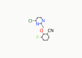 N#Cc1cccc(F)c1OCc1nccc(Cl)n1